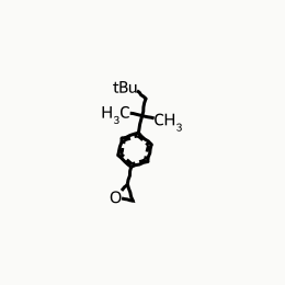 CC(C)(C)CC(C)(C)c1ccc(C2CO2)cc1